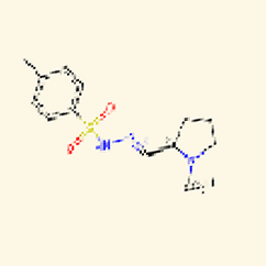 Cc1ccc(S(=O)(=O)N/N=C/[C@H]2CCCN2C(=O)O)cc1